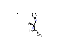 C=C/N=C\C(=C(\S)C=C)C(C)C